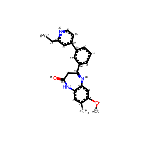 CCOc1cc2c(cc1C(F)(F)F)NC(=O)CC(c1cccc(-c3ccnc(CC(C)C)c3)c1)=N2